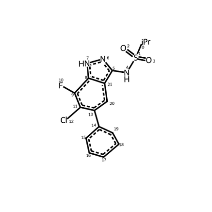 CC(C)S(=O)(=O)Nc1n[nH]c2c(F)c(Cl)c(-c3ccccc3)cc12